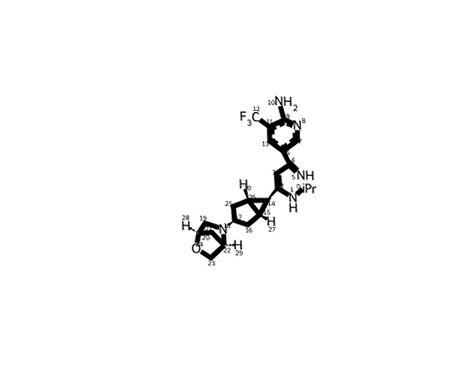 CC(C)N/C(=C\C(=N)c1cnc(N)c(C(F)(F)F)c1)[C@H]1[C@@H]2C[C@H](N3C[C@H]4C[C@@H]3CO4)C[C@@H]21